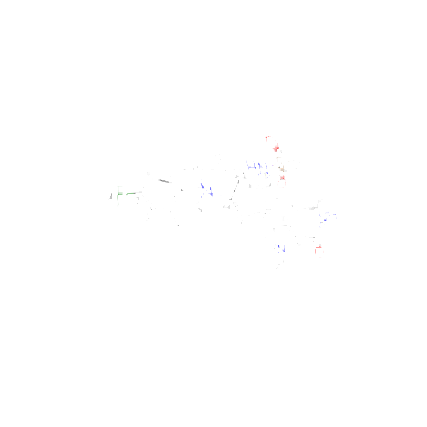 Cc1cc(F)cc(C)c1Cn1ccc2c(NS(C)(=O)=O)cc(-c3cn(C)c4c(=O)[nH]ccc34)cc21